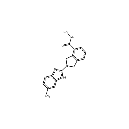 Cc1ccc2nc(N3Cc4cccc(C(=O)NO)c4C3)[nH]c2c1